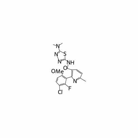 COc1ccc(Cl)c(F)c1-c1nc(C)ccc1C(=O)Nc1nnc(N(C)C)s1